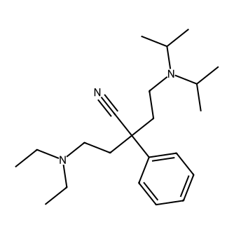 CCN(CC)CCC(C#N)(CCN(C(C)C)C(C)C)c1ccccc1